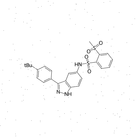 CC(C)(C)c1ccc(-c2n[nH]c3ccc(NS(=O)(=O)c4ccccc4S(C)(=O)=O)cc23)cc1